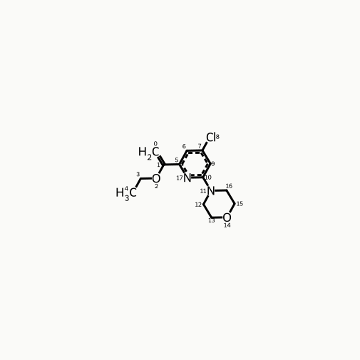 C=C(OCC)c1cc(Cl)cc(N2CCOCC2)n1